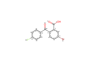 O=C(O)c1cc(Br)ccc1C(=O)c1ccc(F)cc1